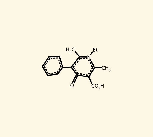 CCn1c(C)c(C(=O)O)c(=O)c(-c2ccccc2)c1C